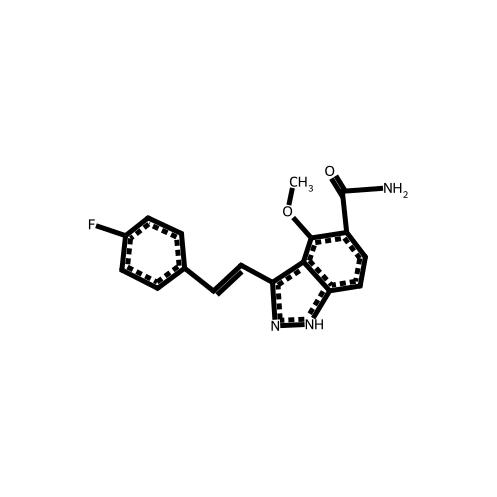 COc1c(C(N)=O)ccc2[nH]nc(/C=C/c3ccc(F)cc3)c12